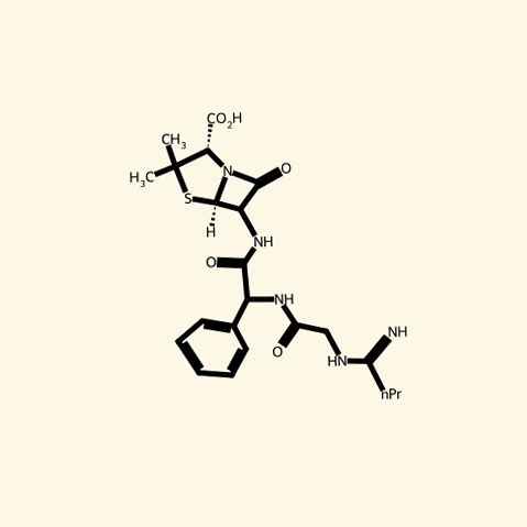 CCCC(=N)NCC(=O)NC(C(=O)NC1C(=O)N2[C@@H]1SC(C)(C)[C@@H]2C(=O)O)c1ccccc1